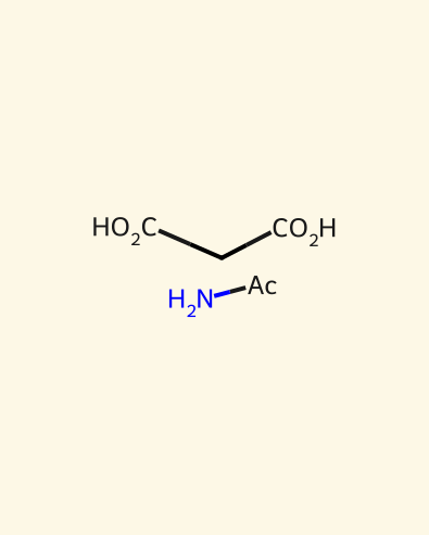 CC(N)=O.O=C(O)CC(=O)O